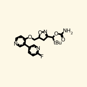 CC(C)(C)C(OC(N)=O)C1=NOC(COc2ccncc2-c2ccc(F)nc2)C1